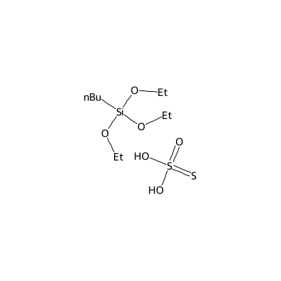 CCCC[Si](OCC)(OCC)OCC.O=S(O)(O)=S